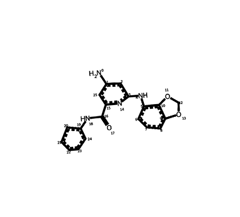 Nc1cc(Nc2cccc3c2OCO3)nc(C(=O)Nc2ccccc2)c1